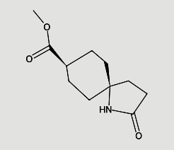 COC(=O)[C@H]1CC[C@]2(CCC(=O)N2)CC1